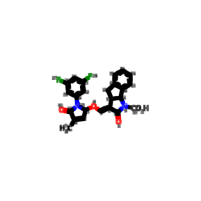 CC1=CC(O/C=C2/C(=O)N(C(=O)O)C3c4ccccc4CC23)N(c2cc(F)cc(F)c2)C1=O